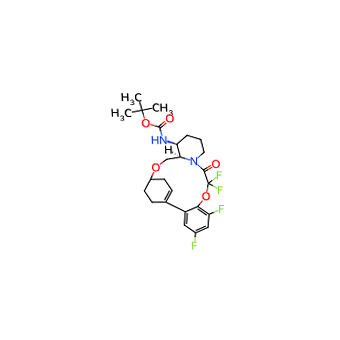 CC(C)(C)OC(=O)N[C@H]1CCCN2C(=O)C(F)(F)Oc3c(F)cc(F)cc3C3=CCC(CC3)OC[C@@H]12